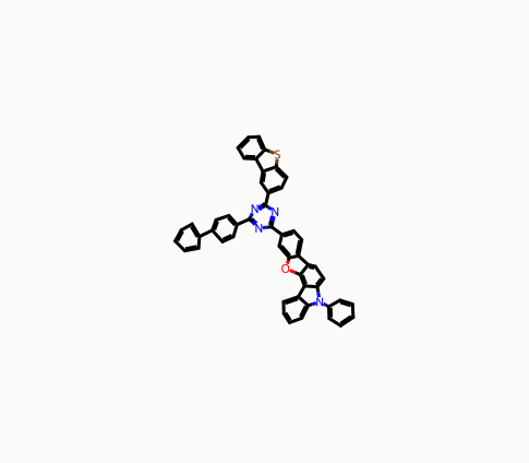 c1ccc(-c2ccc(-c3nc(-c4ccc5c(c4)oc4c5ccc5c4c4ccccc4n5-c4ccccc4)nc(-c4ccc5sc6ccccc6c5c4)n3)cc2)cc1